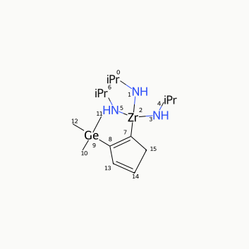 CC(C)[NH][Zr]([NH]C(C)C)([NH]C(C)C)[C]1=[C]([Ge]([CH3])([CH3])[CH3])C=CC1